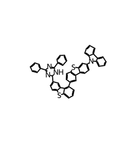 c1ccc(C2=NC(c3ccc4sc5cccc(-c6ccc7sc8cc(-n9c%10ccccc%10c%10ccccc%109)ccc8c7c6)c5c4c3)NC(c3ccccc3)=N2)cc1